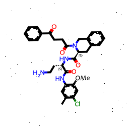 COc1cc(Cl)c(C)cc1NC(=O)[C@H](CCN)NC(=O)[C@@H]1Cc2ccccc2CN1C(=O)CCC(=O)c1ccccc1